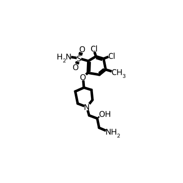 Cc1cc(OC2CCN(C[C@H](O)CN)CC2)c(S(N)(=O)=O)c(Cl)c1Cl